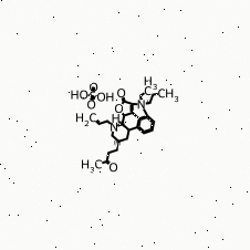 C=CCN1C[C@H](CCC(C)=O)CC2c3cccc4c3C3=C(C(=O)OC3[C@H]21)[N+]4(CC)CCC.O=S(=O)(O)O